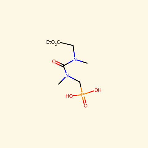 CCOC(=O)CN(C)C(=O)N(C)CP(=O)(O)O